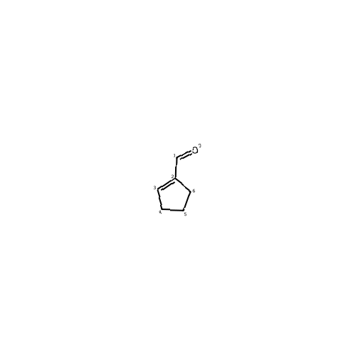 O=CC1=CCCC1